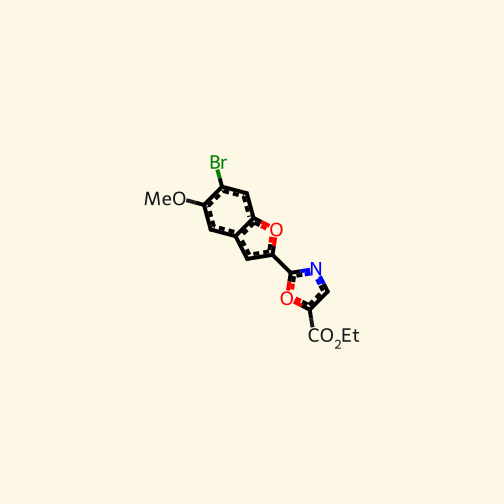 CCOC(=O)c1cnc(-c2cc3cc(OC)c(Br)cc3o2)o1